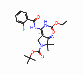 CCOC(=O)N/C(NC(=O)c1ccccc1F)=C1/CN(C(=O)OC(C)(C)C)C(C)(C)C1=N